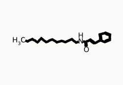 CCCCCCCCCCCCNC(=O)C=Cc1ccccc1